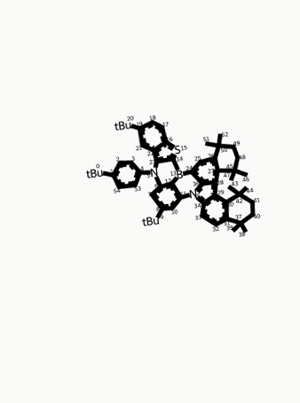 CC(C)(C)c1ccc(N2c3cc(C(C)(C)C)cc4c3B(c3sc5ccc(C(C)(C)C)cc5c32)c2cc3c(c5c6c7c(ccc6n-4c25)C(C)(C)CCC7(C)C)C(C)(C)CCC3(C)C)cc1